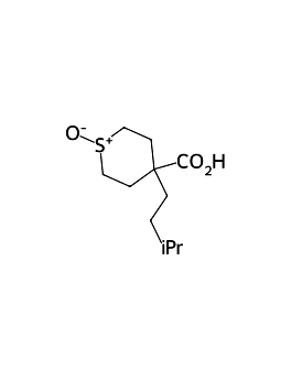 CC(C)CCC1(C(=O)O)CC[S+]([O-])CC1